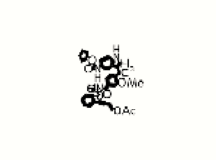 COc1cc(C(=O)NS(=O)(=O)c2ccccc2C#CCCOC(C)=O)ccc1C(C)c1c[nH]c2ccc(NC(=O)OC3CCCC3)cc12